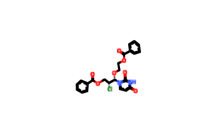 O=C(OCCO[C@@H]([C@H](Cl)COC(=O)c1ccccc1)n1ccc(=O)[nH]c1=O)c1ccccc1